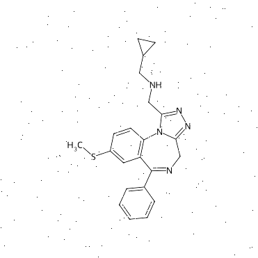 CSc1ccc2c(c1)C(c1ccccc1)=NCc1nnc(CNCC3CC3)n1-2